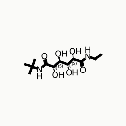 CCNC(=O)[C@@H](O)[C@H](O)[C@H](O)[C@@H](O)C(=O)NC(C)(C)C